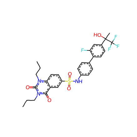 CCCn1c(=O)c2cc(S(=O)(=O)Nc3ccc(-c4ccc(C(C)(O)C(F)(F)F)cc4F)cc3)ccc2n(CCC)c1=O